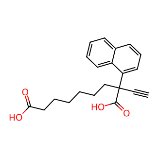 C#CC(CCCCCCC(=O)O)(C(=O)O)c1cccc2ccccc12